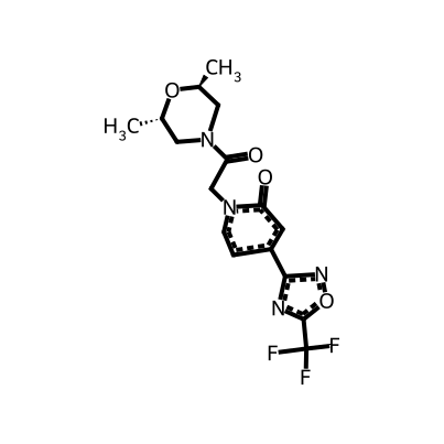 C[C@H]1CN(C(=O)Cn2ccc(-c3noc(C(F)(F)F)n3)cc2=O)C[C@H](C)O1